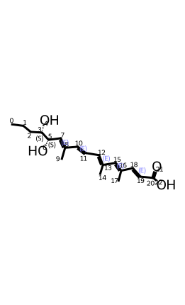 CCC[C@H](O)[C@@H](O)/C=C(C)/C=C/C=C(C)/C=C(C)/C=C/C(=O)O